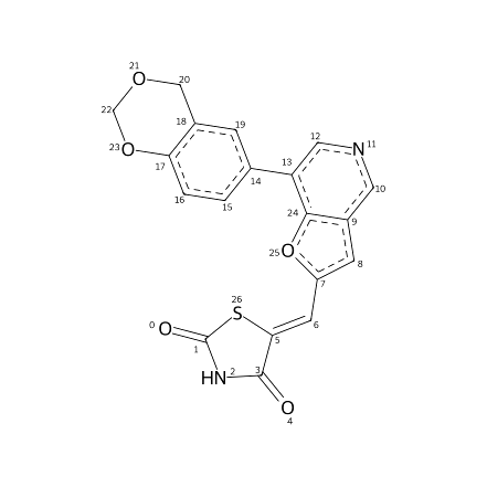 O=C1NC(=O)C(=Cc2cc3cncc(-c4ccc5c(c4)COCO5)c3o2)S1